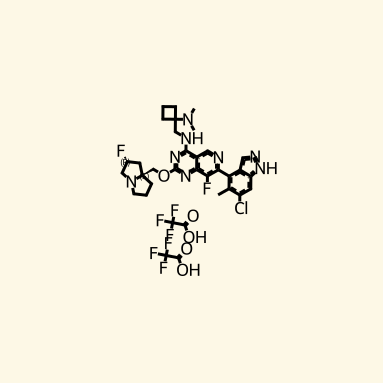 Cc1c(Cl)cc2[nH]ncc2c1-c1ncc2c(NCC3(N(C)C)CCC3)nc(OC[C@@]34CCCN3C[C@H](F)C4)nc2c1F.O=C(O)C(F)(F)F.O=C(O)C(F)(F)F